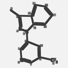 Cc1nn(-c2cncc(C(F)(F)F)c2)c2ccccc12